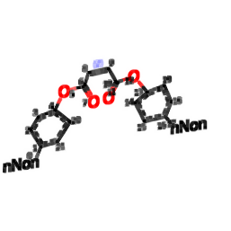 CCCCCCCCCc1ccc(OC(=O)/C=C\C(=O)Oc2ccc(CCCCCCCCC)cc2)cc1